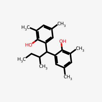 CCC(C)C(c1cc(C)cc(C)c1O)c1cc(C)cc(C)c1O